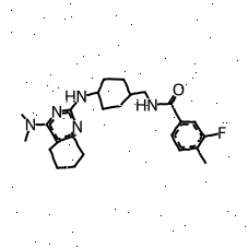 Cc1ccc(C(=O)NCC2CCC(Nc3nc4c(c(N(C)C)n3)CCCC4)CC2)cc1F